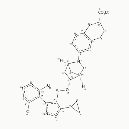 CCOC(=O)[C@@H]1CCc2cc(N3C[C@@H]4C[C@H]3C[C@H]4OCc3c(-c4c(Cl)cccc4Cl)noc3C3CC3)ccc2C1